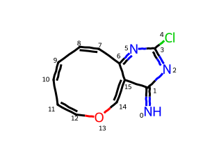 N=c1nc(Cl)nc2ccccccocc1-2